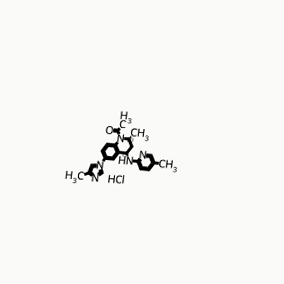 CC(=O)N1c2ccc(-n3cnc(C)c3)cc2[C@@H](Nc2ccc(C)cn2)C[C@H]1C.Cl